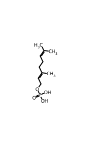 CC(C)=CCC/C(C)=C/COP(=O)(O)O